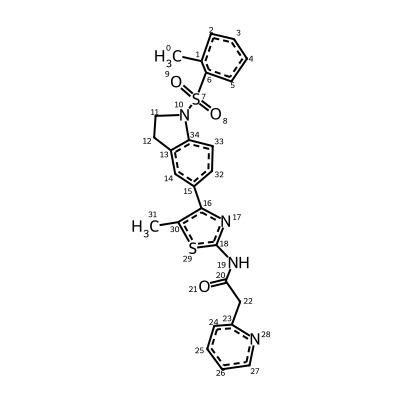 Cc1ccccc1S(=O)(=O)N1CCc2cc(-c3nc(NC(=O)Cc4ccccn4)sc3C)ccc21